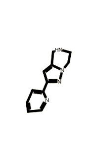 c1ccc(-c2cc3n(n2)CCNC3)nc1